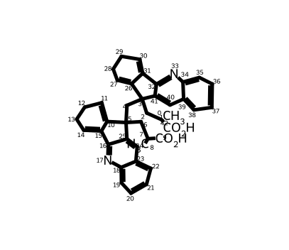 CC(CC1(CC2(CC(C)C(=O)O)C3=CCCC=C3c3nc4ccccc4cc32)C2=CCCC=C2c2nc3ccccc3cc21)C(=O)O